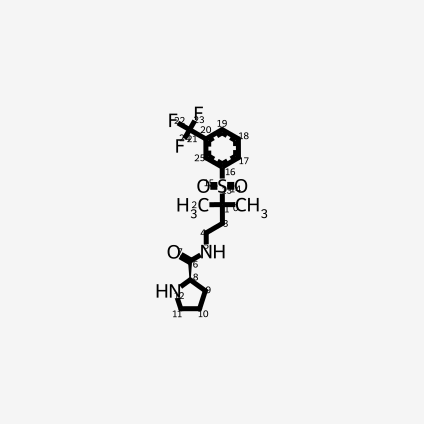 CC(C)(CCNC(=O)[C@H]1CCCN1)S(=O)(=O)c1cccc(C(F)(F)F)c1